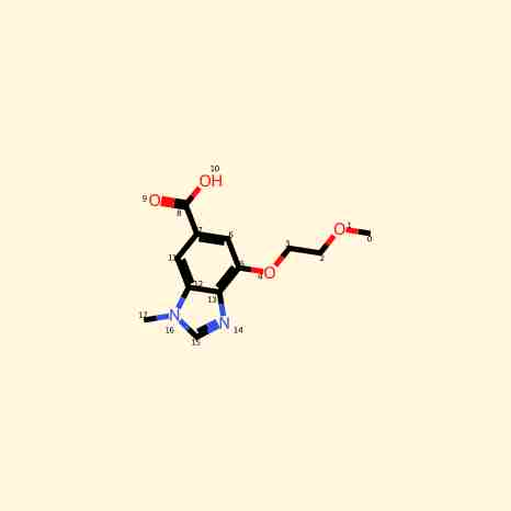 COCCOc1cc(C(=O)O)cc2c1ncn2C